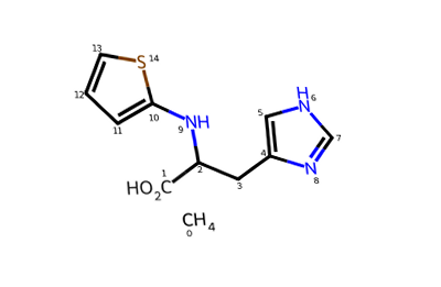 C.O=C(O)C(Cc1c[nH]cn1)Nc1cccs1